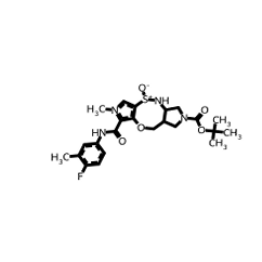 Cc1cc(NC(=O)c2c3c(cn2C)[S+]([O-])NC2CN(C(=O)OC(C)(C)C)CC2CO3)ccc1F